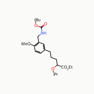 CCOC(=O)C(CCCc1ccc(OC)c(CNC(=O)OC(C)(C)C)c1)OC(C)C